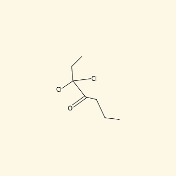 CCCC(=O)C(Cl)(Cl)CC